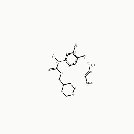 CCN(C(=O)CCC1CCNCC1)c1ccc(Cl)c(Cl)c1.O=C(O)/C=C/C(=O)O